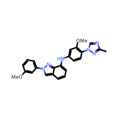 COc1cccc(-n2cc3cccc(Nc4ccc(-n5cnc(C)n5)c(OC)c4)c3n2)c1